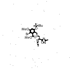 COC(=O)c1c(Br)c(OC)cc(O[Si](C)(C)C(C)(C)C)c1CSC[C@H](N=C=S)c1nc(C)no1